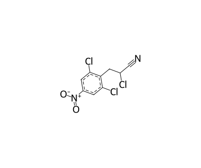 N#CC(Cl)Cc1c(Cl)cc([N+](=O)[O-])cc1Cl